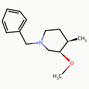 CO[C@H]1CN(Cc2ccccc2)CC[C@H]1C